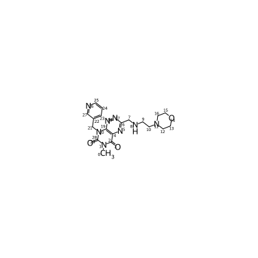 Cn1c(=O)c2nc(CNCCN3CCOCC3)nnc2n(Cc2cccnc2)c1=O